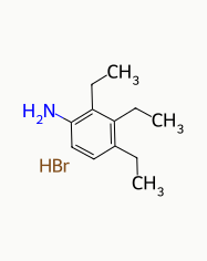 Br.CCc1ccc(N)c(CC)c1CC